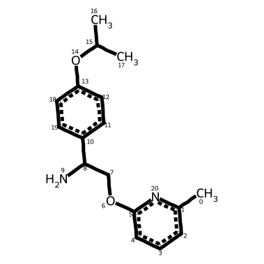 Cc1cccc(OCC(N)c2ccc(OC(C)C)cc2)n1